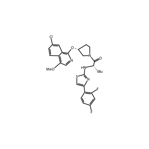 COc1cnc(O[C@@H]2CCN(C(=O)[C@@H](Nc3nc(-c4ccc(F)cc4F)cs3)C(C)(C)C)C2)c2cc(Cl)ccc12